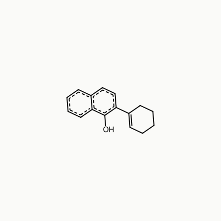 Oc1c(C2=CCCCC2)ccc2ccccc12